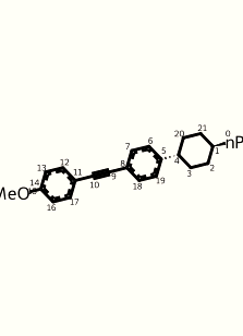 CCC[C@H]1CC[C@H](c2ccc(C#Cc3ccc(OC)cc3)cc2)CC1